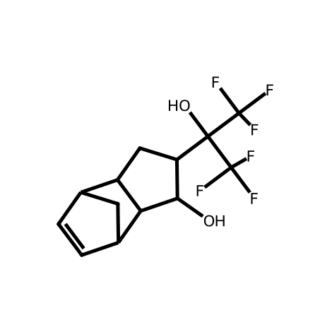 OC1C2C3C=CC(C3)C2CC1C(O)(C(F)(F)F)C(F)(F)F